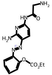 CCOC(=O)Oc1ccccc1/N=N/c1ccc(NC(=O)CN)nc1N